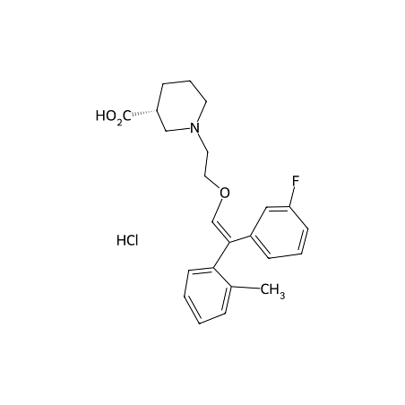 Cc1ccccc1/C(=C/OCCN1CCC[C@@H](C(=O)O)C1)c1cccc(F)c1.Cl